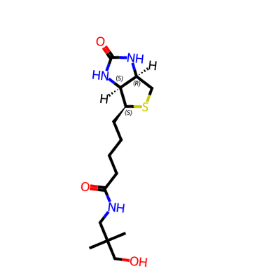 CC(C)(CO)CNC(=O)CCCC[C@@H]1SC[C@@H]2NC(=O)N[C@@H]21